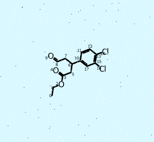 CCOC(=O)CC(CC=O)c1ccc(Cl)c(Cl)c1